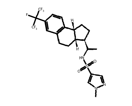 CC(NS(=O)(=O)c1cnn(C)c1)[C@@H]1CC[C@H]2c3ccc(C(F)(C(F)(F)F)C(F)(F)F)cc3CC[C@H]21